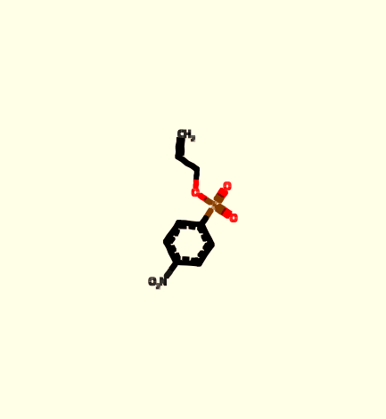 C=CCOS(=O)(=O)c1ccc([N+](=O)[O-])cc1